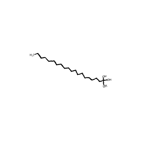 CCCCCCCCCCCCCCCCCCCC(O)(O)O